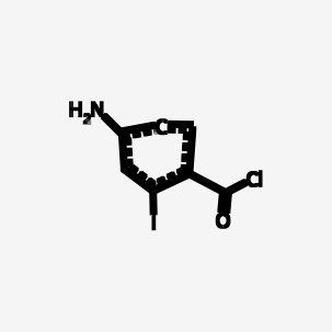 Nc1ccc(C(=O)Cl)c(I)c1